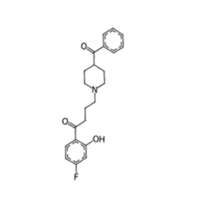 O=C(CCCN1CCC(C(=O)c2ccccc2)CC1)c1ccc(F)cc1O